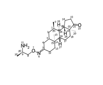 C[C@@H]1CC2CC(=NOC[C@@H](C)N)CC[C@]2(C)[C@H]2CC[C@]3(C)C(=O)CC[C@H]3[C@H]12